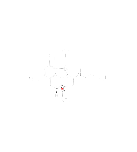 COc1cc(O)c2c3c1C[C@@H]1[C@@H]4CC[C@H](NCCC(=O)O)[C@H](O2)[C@]34CCN1C.Cl.Cl